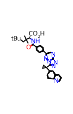 CC(C)(C)CC(C)(C)[C@H](NC(=O)c1ccc(-c2cnc3nnc(C4(c5ccc6ncccc6c5)CC4)n3n2)cc1)C(=O)O